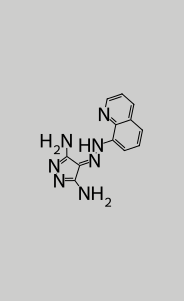 NC1=NN=C(N)C1=NNc1cccc2cccnc12